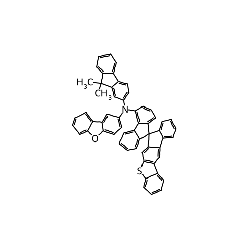 CC1(C)c2ccccc2-c2ccc(N(c3ccc4oc5ccccc5c4c3)c3cccc4c3-c3ccccc3C43c4ccccc4-c4cc5c(cc43)sc3ccccc35)cc21